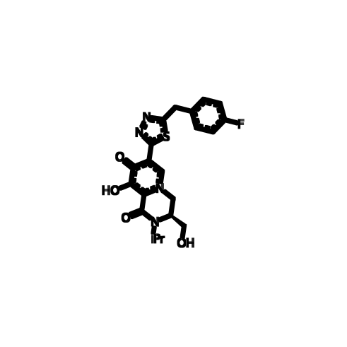 CC(C)N1C(=O)c2c(O)c(=O)c(-c3nnc(Cc4ccc(F)cc4)s3)cn2C[C@H]1CO